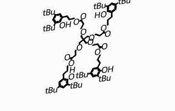 CC(C)(C)c1cc(CCCOC(=O)CCOCC(COCCC(=O)OCCCc2cc(C(C)(C)C)cc(C(C)(C)C)c2O)(COCCC(=O)OCCCc2cc(C(C)(C)C)cc(C(C)(C)C)c2O)COCCC(=O)OCCCc2cc(C(C)(C)C)cc(C(C)(C)C)c2O)c(O)c(C(C)(C)C)c1